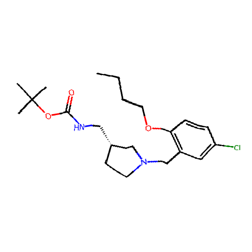 CCCCOc1ccc(Cl)cc1CN1CC[C@H](CNC(=O)OC(C)(C)C)C1